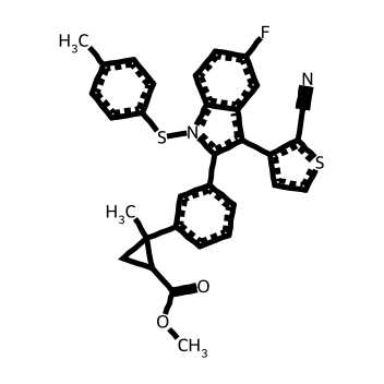 COC(=O)C1CC1(C)c1cccc(-c2c(-c3ccsc3C#N)c3cc(F)ccc3n2Sc2ccc(C)cc2)c1